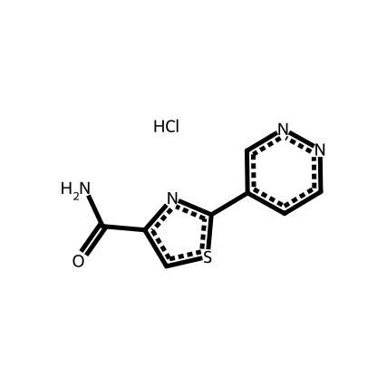 Cl.NC(=O)c1csc(-c2ccnnc2)n1